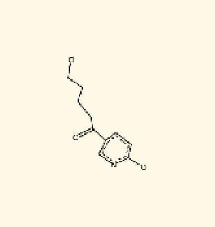 O=C(CCCCCl)c1ccc(Cl)nc1